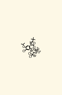 CC(C)Oc1cc(-n2nc(C(C)(C)C)oc2=O)c(Cl)cc1Cl.COP(=O)(OC)OC(Br)C(Cl)(Cl)Br